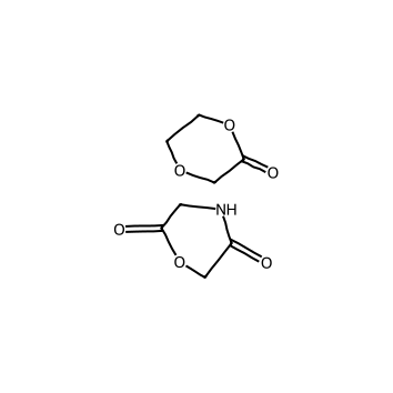 O=C1COC(=O)CN1.O=C1COCCO1